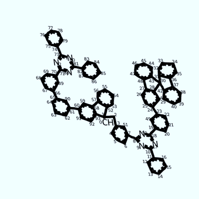 CC1(Cc2cccc(-c3nc(-c4ccccc4)nc(-c4cccc(-c5ccc6c(c5)C5(c7ccccc7-c7ccccc75)c5ccccc5-6)c4)n3)c2)c2ccccc2-c2cc(-c3cccc(-c4cccc(-c5nc(-c6ccccc6)nc(-c6ccccc6)n5)c4)c3)ccc21